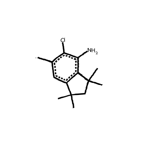 [CH2]c1cc2c(c(N)c1Cl)C(C)(C)CC2(C)C